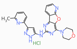 Cc1cccc(-c2cc(Nc3nc(N4CCOCC4)c4oc5ncccc5c4n3)[nH]n2)n1.Cl